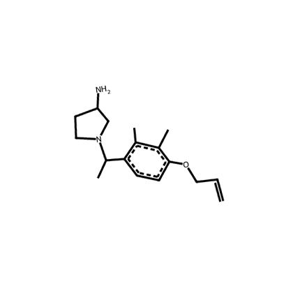 C=CCOc1ccc(C(C)N2CCC(N)C2)c(C)c1C